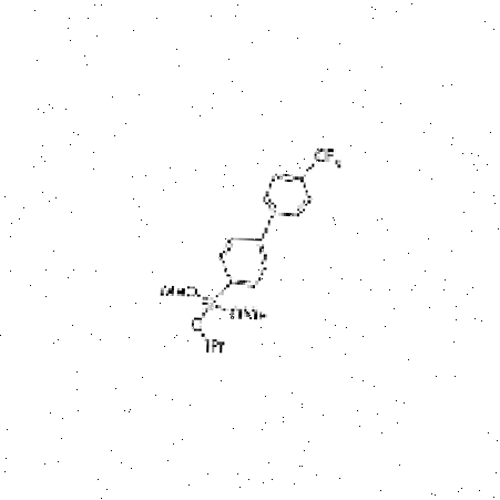 CO[Si](OC)(OC(C)C)c1ccc(-c2ccc(C(F)(F)F)cc2)cc1